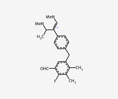 CN/C=C(/c1ccc(Cc2cc(C=O)c(F)c(C)c2C)cc1)C(C)NC